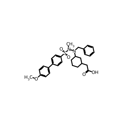 COc1ccc(-c2ccc(S(=O)(=O)N(C)N(Cc3ccccc3)C3CCCC(CC(=O)O)C3)cc2)cc1